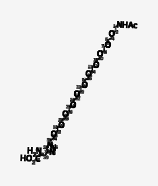 CC(=O)NCCOCCOCCOCCOCCOCCOCCOCCOCCOCCOCCOCCn1cc(CC(N)C(=O)O)nn1